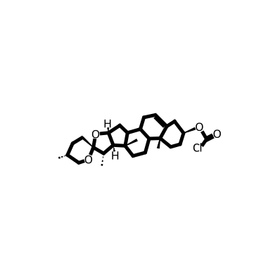 C[C@@H]1CC[C@@]2(OC1)O[C@H]1CC3C4CC=C5C[C@@H](OC(=O)Cl)CC[C@]5(C)C4CC[C@]3(C)[C@H]1[C@@H]2C